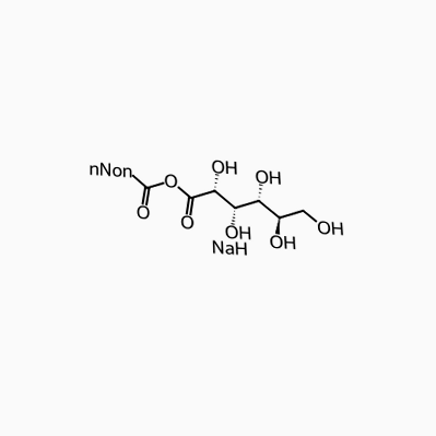 CCCCCCCCCC(=O)OC(=O)[C@H](O)[C@@H](O)[C@H](O)[C@H](O)CO.[NaH]